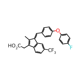 CC1=C(CC(=O)O)c2ccc(C(F)(F)F)cc2/C1=C\c1ccc(Oc2ccc(F)cc2)cc1